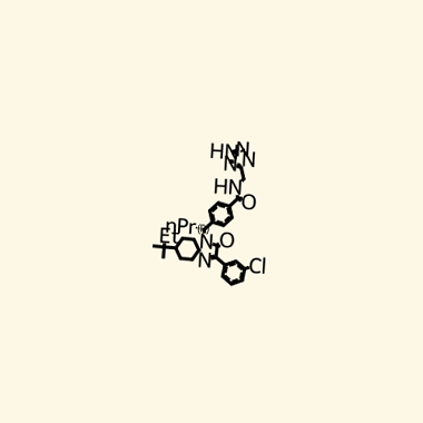 CCC[C@H](c1ccc(C(=O)NCc2nn[nH]n2)cc1)N1C(=O)C(c2cccc(Cl)c2)=NC12CCC(C(C)(C)CC)CC2